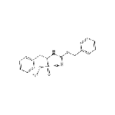 COP(=O)(O)C(Cc1ccccc1)NC(=O)OCc1ccccc1